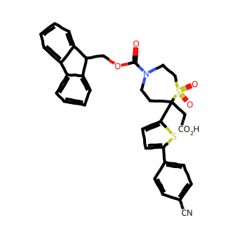 N#Cc1ccc(-c2ccc(C3(CC(=O)O)CCN(C(=O)OCC4c5ccccc5-c5ccccc54)CCS3(=O)=O)s2)cc1